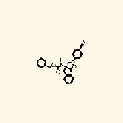 CC(=O)[C@@](COc1ccc(C#N)cc1)(Cc1ccccc1)NC(=O)OCc1ccccc1